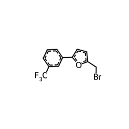 FC(F)(F)c1cccc(-c2ccc(CBr)o2)c1